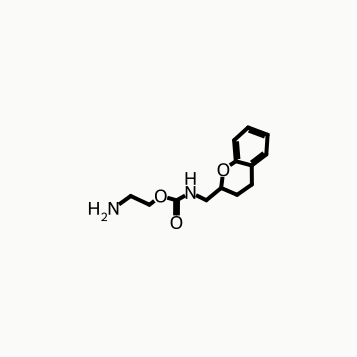 NCCOC(=O)NCC1CCc2ccccc2O1